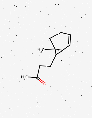 CC(=O)CCC1C2C=CCCC21C